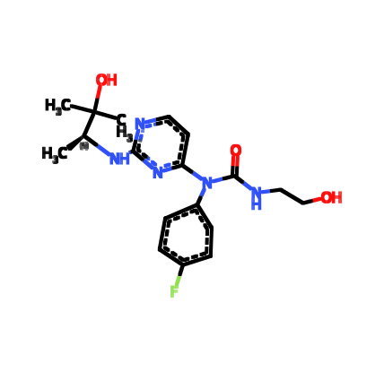 C[C@H](Nc1nccc(N(C(=O)NCCO)c2ccc(F)cc2)n1)C(C)(C)O